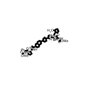 COC(=O)NC(C(=O)N1CCC[C@H]1c1ncc(-c2ccc3cc(-c4ccc(-c5c[nH]c(C(C)N(Cc6ccccc6C)C(=O)[C@@H](NC(=O)OC)C(C)C)n5)cc4)ccc3c2)[nH]1)C(C)C